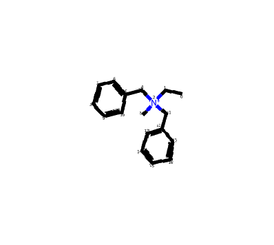 CC[N+](C)(Cc1ccccc1)Cc1ccccc1